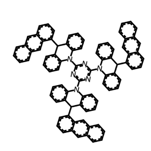 c1ccc2c(c1)C(c1cccc3cc4ccccc4cc13)c1ccccc1N2c1nc(N2c3ccccc3C(c3cccc4cc5ccccc5cc34)c3ccccc32)nc(N2c3ccccc3C(c3cccc4cc5ccccc5cc34)c3ccccc32)n1